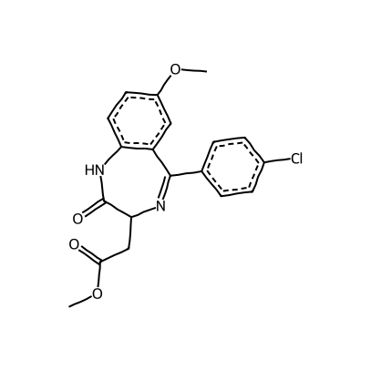 COC(=O)CC1N=C(c2ccc(Cl)cc2)c2cc(OC)ccc2NC1=O